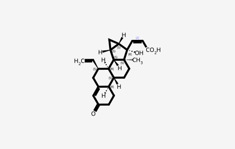 C=C[C@@H]1CC2=CC(=O)CC[C@@H]2[C@H]2CC[C@@]3(C)[C@@H]([C@@H]4C[C@@H]4[C@@]3(O)/C=C\C(=O)O)[C@@H]21